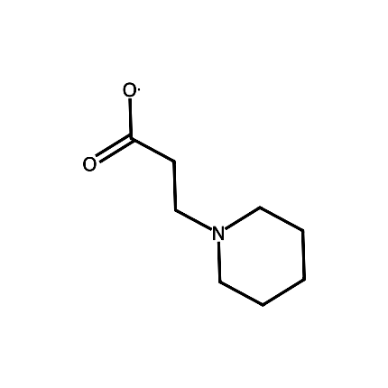 [O]C(=O)CCN1CCCCC1